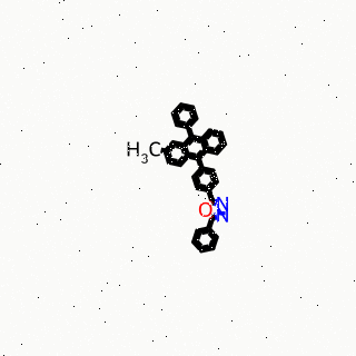 Cc1ccc2c(-c3ccc(-c4nnc(-c5ccccc5)o4)cc3)c3ccccc3c(-c3ccccc3)c2c1